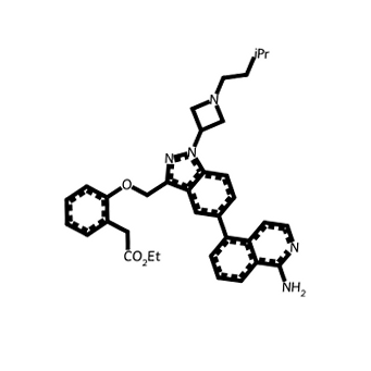 CCOC(=O)Cc1ccccc1OCc1nn(C2CN(CCC(C)C)C2)c2ccc(-c3cccc4c(N)nccc34)cc12